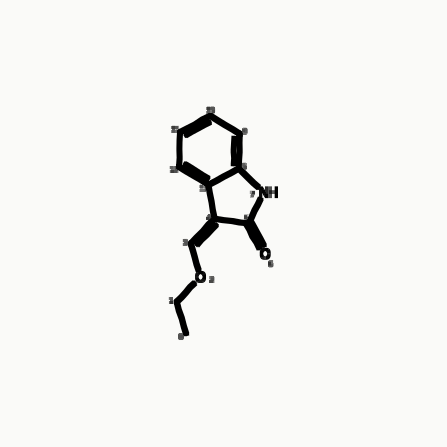 CCOC=C1C(=O)Nc2ccccc21